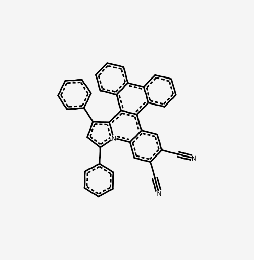 N#Cc1cc2c3c4ccccc4c4ccccc4c3c3c(-c4ccccc4)cc(-c4ccccc4)n3c2cc1C#N